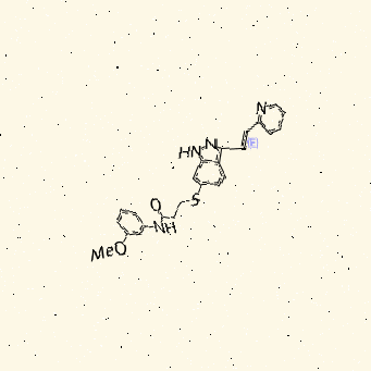 COc1cccc(NC(=O)CCSc2ccc3c(/C=C/c4ccccn4)n[nH]c3c2)c1